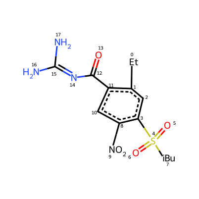 CCc1cc(S(=O)(=O)C(C)CC)c([N+](=O)[O-])cc1C(=O)N=C(N)N